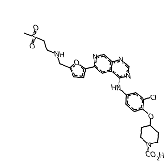 CS(=O)(=O)CCNCc1ccc(-c2cc3c(Nc4ccc(OC5CCN(C(=O)O)CC5)c(Cl)c4)ncnc3cn2)o1